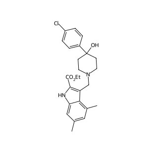 CCOC(=O)c1[nH]c2cc(C)cc(C)c2c1CN1CCC(O)(c2ccc(Cl)cc2)CC1